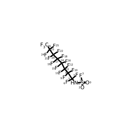 O=S(=O)(F)NC(F)(F)C(F)(F)C(F)(F)C(F)(F)C(F)(F)C(F)(F)C(F)(F)C(F)(F)F